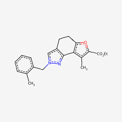 CCOC(=O)c1oc2c(c1C)-c1nn(Cc3ccccc3C)cc1CC2